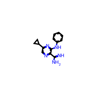 N=C(N)c1ncc(C2CC2)nc1Nc1ccccc1